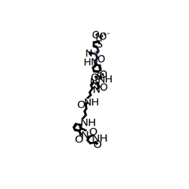 COc1nc(CCCNC(=O)CCCCNc2cccc3c2CN(C2CCC(=O)NC2=O)C3=O)cnc1NS(=O)(=O)c1ccc(NC(=O)/C(C#N)=C/c2ccc([N+](=O)[O-])s2)cc1